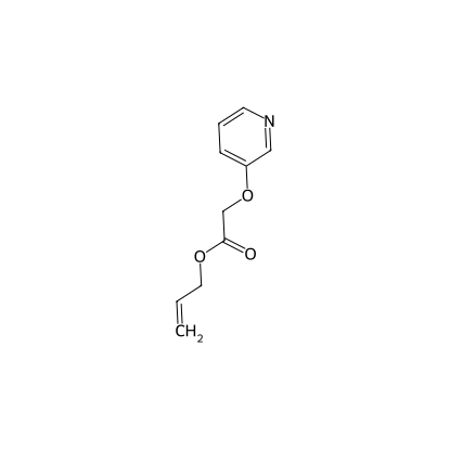 C=CCOC(=O)COc1cccnc1